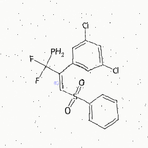 O=S(=O)(/C=C(\c1cc(Cl)cc(Cl)c1)C(F)(F)P)c1ccccc1